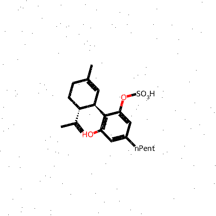 C=C(C)[C@@H]1CCC(C)=C[C@H]1c1c(O)cc(CCCCC)cc1OS(=O)(=O)O